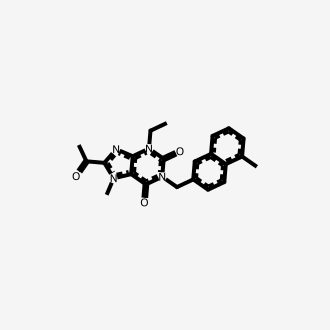 CCn1c(=O)n(Cc2ccc3c(C)cccc3c2)c(=O)c2c1nc(C(C)=O)n2C